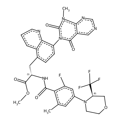 COC(=O)[C@H](Cc1ccc(-n2c(=O)c3cncnc3n(C)c2=O)c2ncccc12)NC(=O)c1c(C)cc(N2CCOC[C@@H]2C(F)(F)F)cc1F